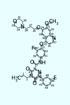 C=CCn1c(=O)c(C(=O)Nc2ccc(Oc3ccnc4cc(OC)c(OCCCN5CCOCC5)cc34)c(F)c2)nn(-c2cccc(F)c2)c1=O